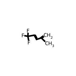 C=C(C)/C=C/C(F)(F)F